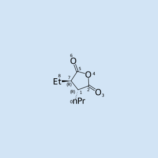 CCC[C@H]1C(=O)OC(=O)[C@@H]1CC